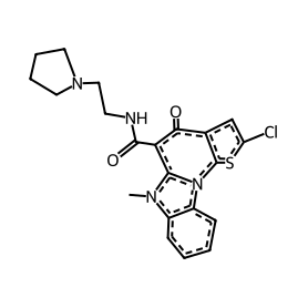 Cn1c2ccccc2n2c3sc(Cl)cc3c(=O)c(C(=O)NCCN3CCCC3)c12